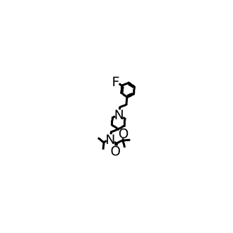 CC(C)N1CC2(CCN(CCc3cccc(F)c3)CC2)OC(C)(C)C1=O